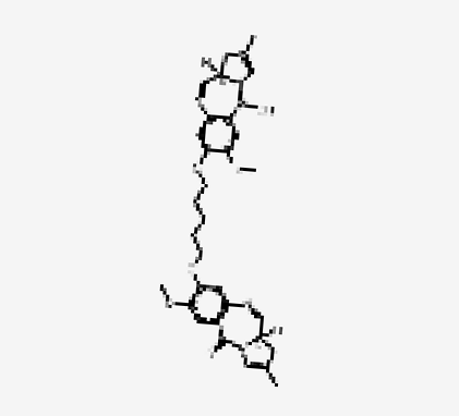 COc1cc2c(cc1OCCCCCOc1cc3c(cc1OC)C(O)N1C=C(C)C[C@H]1C=N3)N=C[C@@H]1CC(C)=CN1C2=O